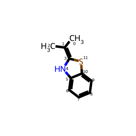 CC(C)=C1Nc2ccccc2S1